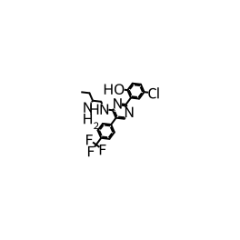 CCC(N)CNc1nc(-c2cc(Cl)ccc2O)ncc1-c1ccc(C(F)(F)F)cc1